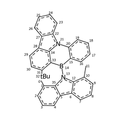 Cc1cccc2c3cccc(C)c3n(B3c4ccccc4-n4c5ccccc5c5ccc(C(C)(C)C)c3c54)c12